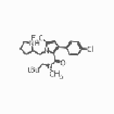 CN(CC(C)(C)C)C(=O)c1c(-c2ccc(Cl)cc2)cc(C(F)(F)F)n1CC1CCCN1